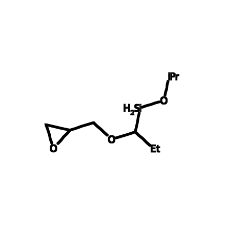 CCC(OCC1CO1)[SiH2]OC(C)C